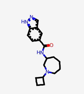 O=C(NC1CCCCN(C2CCC2)C1)c1ccc2[nH]ncc2c1